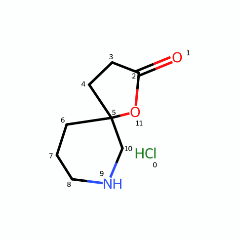 Cl.O=C1CCC2(CCCNC2)O1